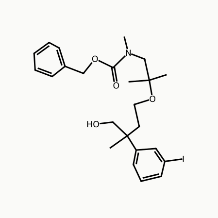 CN(CC(C)(C)OCCC(C)(CO)c1cccc(I)c1)C(=O)OCc1ccccc1